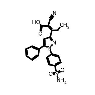 CCC(=C(C#N)C(=O)O)c1cc(-c2ccccc2)n(-c2ccc(S(N)(=O)=O)cc2)n1